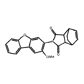 COc1cc2c(cc1N1C(=O)C3C4C=CC(CC4)C3C1=O)oc1ccccc12